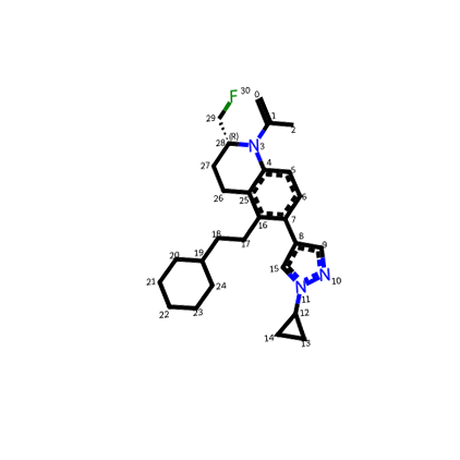 C=C(C)N1c2ccc(-c3cnn(C4CC4)c3)c(CCC3CCCCC3)c2CC[C@@H]1CF